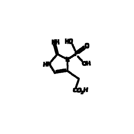 N=c1[nH]cc(CC(=O)O)n1P(=O)(O)O